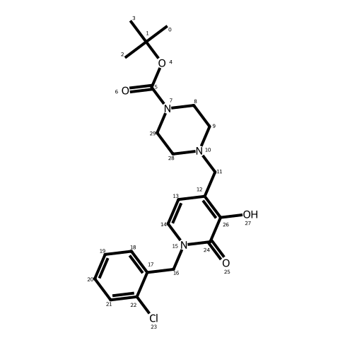 CC(C)(C)OC(=O)N1CCN(Cc2ccn(Cc3ccccc3Cl)c(=O)c2O)CC1